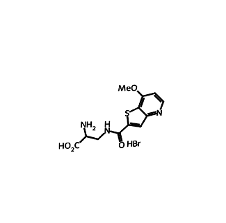 Br.COc1ccnc2cc(C(=O)NCC(N)C(=O)O)sc12